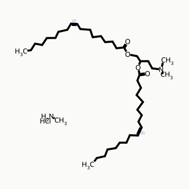 CCCCCCCC/C=C\CCCCCCCC(=O)OCC(CCN(C)C)OC(=O)CCCCCCC/C=C\CCCCCCCC.CN.Cl